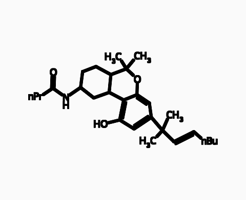 CCCCC=CC(C)(C)c1cc(O)c2c(c1)OC(C)(C)C1CCC(NC(=O)CCC)CC21